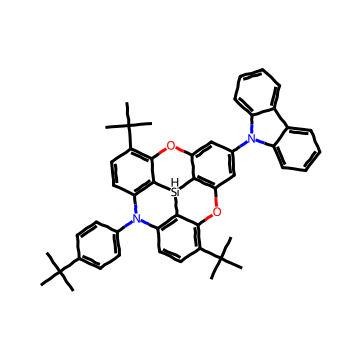 CC(C)(C)c1ccc(N2c3ccc(C(C)(C)C)c4c3[SiH]3c5c(cc(-n6c7ccccc7c7ccccc76)cc5Oc5c(C(C)(C)C)ccc2c53)O4)cc1